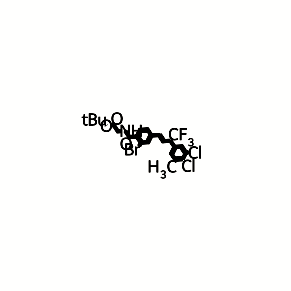 Cc1cc(C(/C=C/c2ccc(C(=O)NCC(=O)OC(C)(C)C)c(Br)c2)C(F)(F)F)cc(Cl)c1Cl